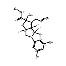 C=CC[C@H]1[C@H]2[C@H](CN3c4cc(C(C)(C)C)cc(C(C)(C)C)c4O[C@@H]23)CC1(NC(C)=O)C(=O)NC(C)(C)C